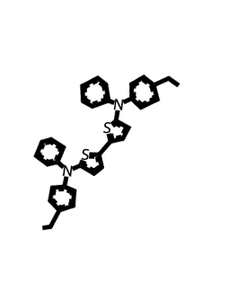 CCc1ccc(N(c2ccccc2)c2ccc(-c3ccc(N(c4ccccc4)c4ccc(CC)cc4)s3)s2)cc1